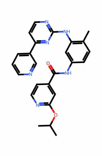 Cc1ccc(NC(=O)c2ccnc(OC(C)C)c2)cc1Nc1nccc(-c2cccnc2)n1